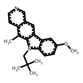 COc1ccc2c(c1)c1cc3cnccc3c(C)c1n2CC(C)(C)C